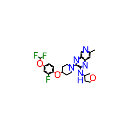 Cc1cc2nc(NC3CCOC3)c(N3CCC(Oc4ccc(OC(F)F)cc4F)CC3)nc2cn1